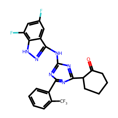 O=C1CCCCC1c1nc(Nc2n[nH]c3c(F)cc(F)cc23)nc(-c2ccccc2C(F)(F)F)n1